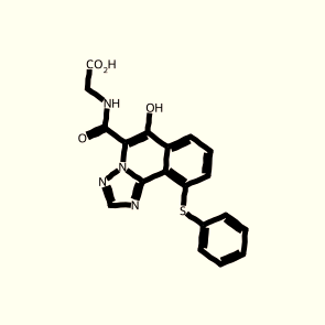 O=C(O)CNC(=O)c1c(O)c2cccc(Sc3ccccc3)c2c2ncnn12